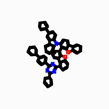 c1ccc(-c2ccc(-c3nc(-c4ccccc4)nc(-c4cccc5oc6c(-c7c(-n8c9ccccc9c9cc(-c%10ccccc%10)ccc98)ccc8c7oc7ccccc78)cccc6c45)n3)cc2)cc1